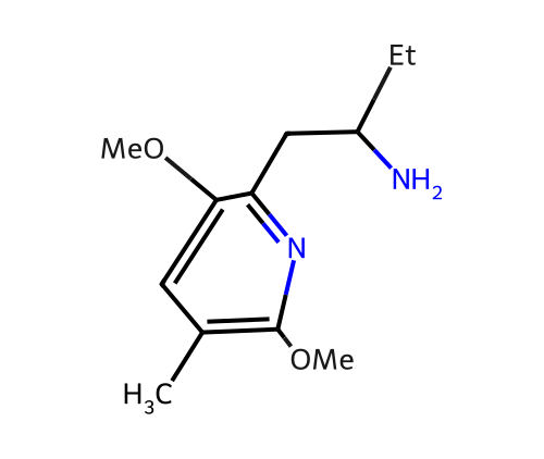 CCC(N)Cc1nc(OC)c(C)cc1OC